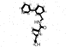 C#Cc1nc(C(=O)NCc2cccc(-c3cccnc3)c2)cs1